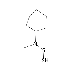 CCN(SS)C1CCCCC1